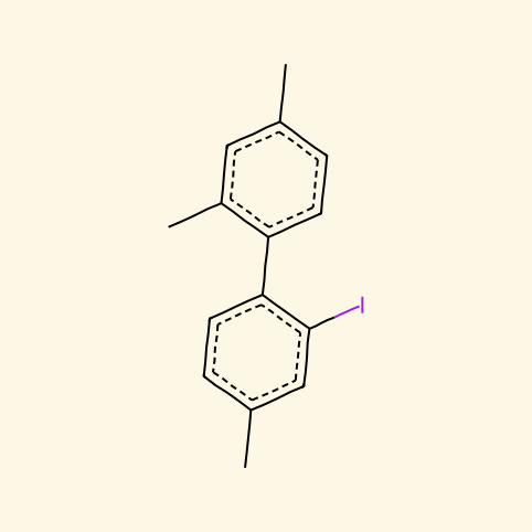 Cc1ccc(-c2ccc(C)cc2I)c(C)c1